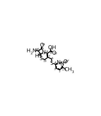 Cc1ccc(SCC2=C(C(=O)O)N3C(=O)C(N)[C@@H]3SC2)n[n+]1[O-]